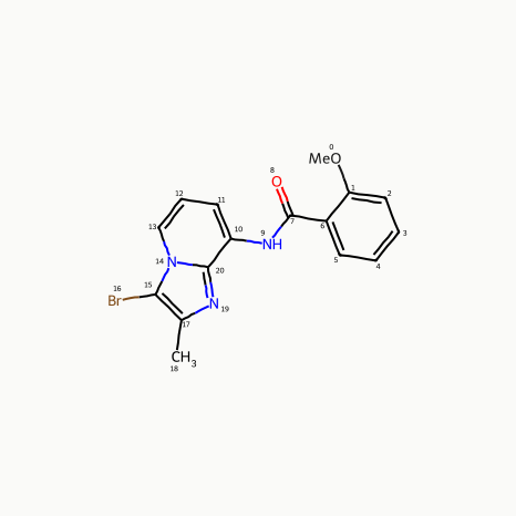 COc1ccccc1C(=O)Nc1cccn2c(Br)c(C)nc12